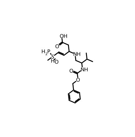 CC(C)C(CNC(/C=C/[SH](C)(=O)P)CC(=O)O)NC(=O)OCc1ccccc1